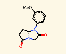 COc1cccc(N2C(=O)CN3C(=O)CCC32)c1